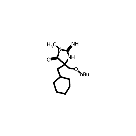 CCCCOCC1(CC2CCCCC2)NC(=N)N(C)C1=O